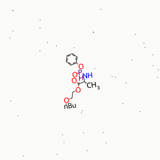 CCCCOCCOC(=O)[C@H](C)N[PH](=O)Oc1ccccc1